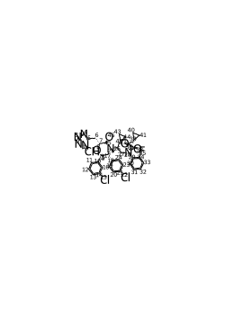 Cn1nnnc1C[C@H]1O[C@H](c2cccc(Cl)c2)[C@@H](c2ccc(Cl)cc2)N(C(CN(c2ccccc2F)S(=O)(=O)C2CC2)C2CC2)C1=O